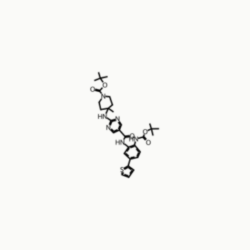 CC1(Nc2ncc(C(=O)Nc3cc(-c4cccs4)ccc3NC(=O)OC(C)(C)C)cn2)CCN(C(=O)OC(C)(C)C)CC1